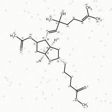 COC(=O)CCCC[C@H]1C[C@H]2[C@H](CC(OC(C)=O)[C@@H]2C=CC(C)(O)CCC=C(C)C)O1